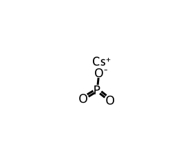 O=P(=O)[O-].[Cs+]